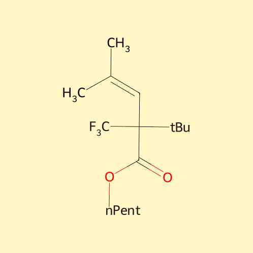 CCCCCOC(=O)C(C=C(C)C)(C(C)(C)C)C(F)(F)F